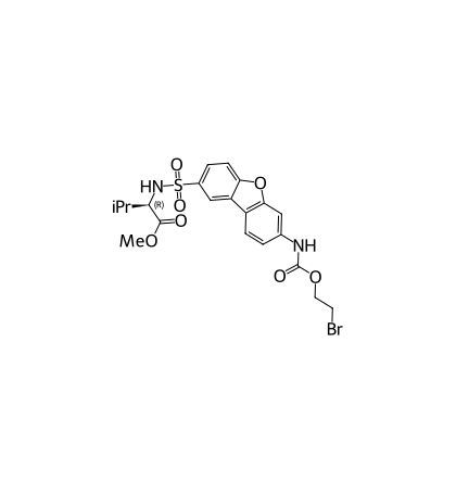 COC(=O)[C@H](NS(=O)(=O)c1ccc2oc3cc(NC(=O)OCCBr)ccc3c2c1)C(C)C